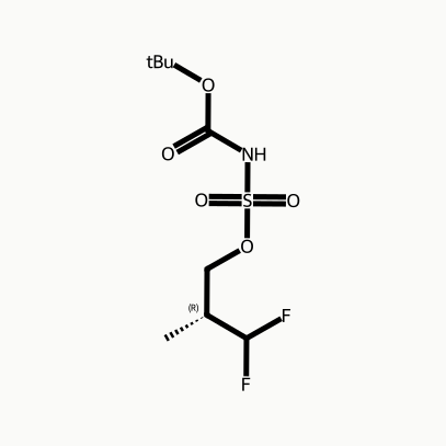 C[C@H](COS(=O)(=O)NC(=O)OC(C)(C)C)C(F)F